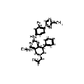 CCNc1nc(Nc2ccc(-n3cnc(C)n3)c(F)c2)nc2c1CN(CC(F)F)CC2c1ccccc1